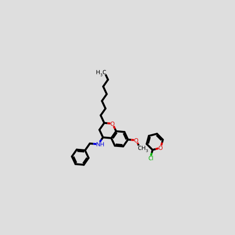 CCCCCCCC1CC(NCc2ccccc2)c2ccc(OC)cc2O1.ClC1C=CC=CO1